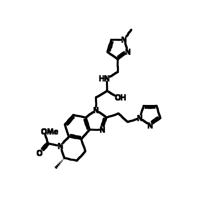 COC(=O)N1c2ccc3c(nc(CCn4cccn4)n3CC(O)NCc3ccn(C)n3)c2CC[C@@H]1C